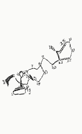 CC(C)(F)CN1CCC(CCc2ccccc2)CC1